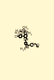 CCOC(=O)[C@@H](OC(C)(C)C)c1c(C)cc2nc(-c3ccc4c(c3)c(C3CCN(CC5CCO5)CC3)nn4C)sc2c1-c1ccc(Cl)cc1